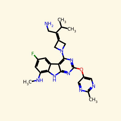 CNc1cc(F)cc2c1[nH]c1nc(Oc3cnc(C)nc3)nc(N3CC(=C(CN)C(C)C)C3)c12